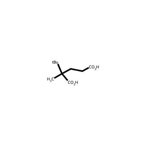 CC(C)(C)C(C)(CCC(=O)O)C(=O)O